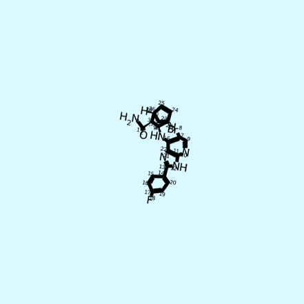 NC(=O)[C@@H]1[C@H](Nc2c(Br)cnc3[nH]c(-c4ccc(F)cc4)nc23)[C@H]2C=C[C@@H]1C2